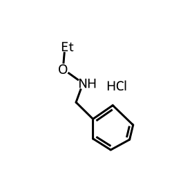 CCONCc1ccccc1.Cl